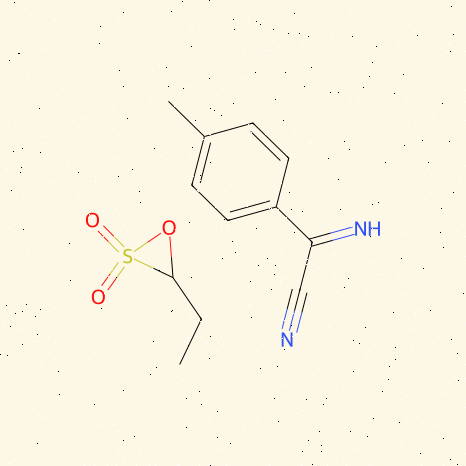 CCC1OS1(=O)=O.Cc1ccc(C(=N)C#N)cc1